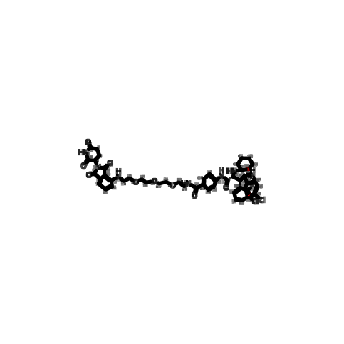 O=C1CCC(N2C(=O)c3cccc(NCCOCCOCCOCCNC(=O)c4ccc(NC(=O)[C@@H]5NC6(CCCCC6)[C@@]6(C(=O)Nc7cc(Cl)ccc76)[C@H]5c5cccc(Cl)c5F)cc4)c3C2=O)C(=O)N1